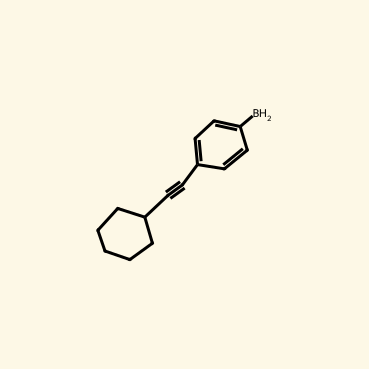 Bc1ccc(C#CC2CCCCC2)cc1